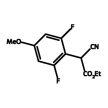 CCOC(=O)C(C#N)c1c(F)cc(OC)cc1F